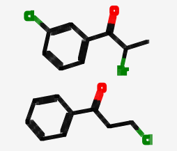 CC(Br)C(=O)c1cccc(Cl)c1.O=C(CCCl)c1ccccc1